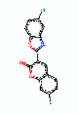 O=c1oc2cc(F)ccc2cc1-c1nc2cc(Cl)ccc2o1